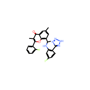 Cc1cc(C(C)Nc2cc(F)ccc2-c2nn[nH]n2)c2oc(-c3ccccc3F)c(C)c(=O)c2c1